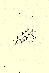 O=S(=O)([O-])C(F)(F)C(F)(F)C(F)(F)C(F)(F)C(F)(F)C(F)(F)F.[Tl+]